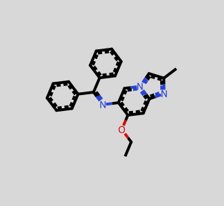 CCOc1cc2nc(C)cn2cc1N=C(c1ccccc1)c1ccccc1